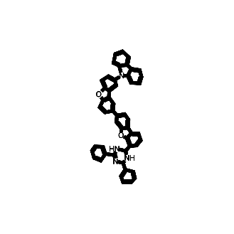 c1ccc(C2=NC(c3ccccc3)NC(c3cccc4c3oc3cc(-c5ccc6oc7ccc(-n8c9ccccc9c9ccccc98)cc7c6c5)ccc34)N2)cc1